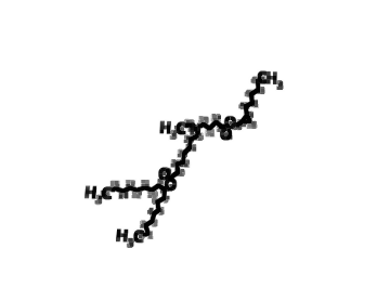 CCCCCCCCC(CCCCCCCC)OC(=O)CCCCCCCN(CC)CCCC(=O)OCC1CC1CCCCCC